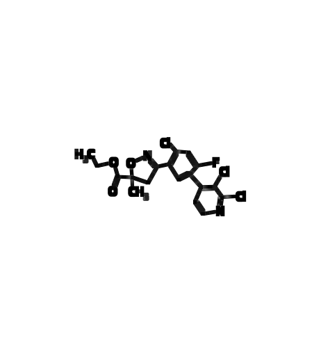 CCOC(=O)C1(C)CC(c2cc(-c3ccnc(Cl)c3Cl)c(F)cc2Cl)=NO1